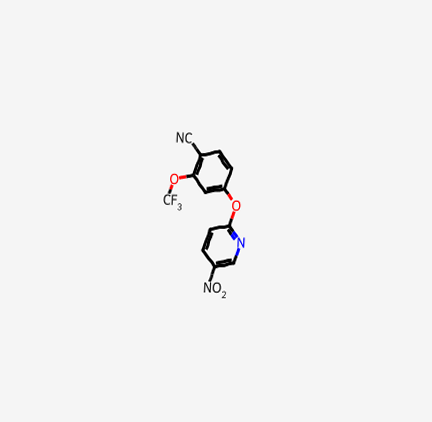 N#Cc1ccc(Oc2ccc([N+](=O)[O-])cn2)cc1OC(F)(F)F